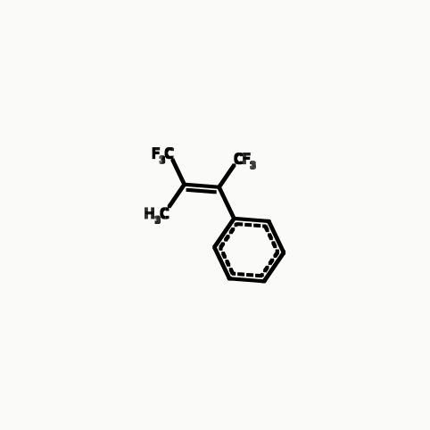 CC(=C(c1ccccc1)C(F)(F)F)C(F)(F)F